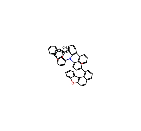 CC1(C)c2ccccc2-c2cccc(N(c3ccc(-c4cccc5ccc6oc7ccccc7c6c45)cc3)c3c(-c4ccccc4)cccc3-c3ccccc3)c21